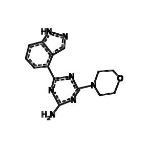 Nc1nc(-c2cccc3[nH]ncc23)nc(N2CCOCC2)n1